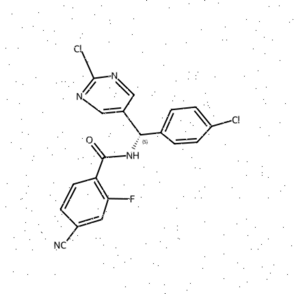 N#Cc1ccc(C(=O)N[C@@H](c2ccc(Cl)cc2)c2cnc(Cl)nc2)c(F)c1